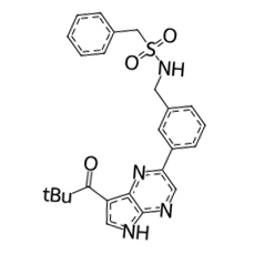 CC(C)(C)C(=O)c1c[nH]c2ncc(-c3cccc(CNS(=O)(=O)Cc4ccccc4)c3)nc12